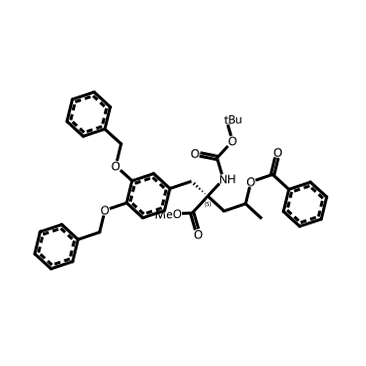 COC(=O)[C@](Cc1ccc(OCc2ccccc2)c(OCc2ccccc2)c1)(CC(C)OC(=O)c1ccccc1)NC(=O)OC(C)(C)C